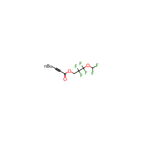 CCCCC#CC(=O)OCC(F)(F)C(F)(F)OC(F)F